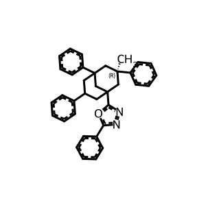 C[C@@]1(c2ccccc2)CC2(c3ccccc3)CC(c3ccccc3)CC(c3nnc(-c4ccccc4)o3)(C2)C1